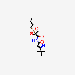 CCCCS(=O)(=O)C(C)(C)C(=O)Nc1cc(C(C)(C)C)no1